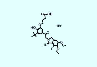 Br.CCOc1cc2c(c(F)c1OCC)C(=N)N(CC(=O)c1cc(OCCCC(=O)O)c(O)c(C(C)(C)C)c1)C2